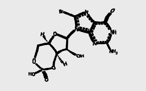 Nc1nc2c(nc(Br)n2C2O[C@@H]3COP(=O)(O)O[C@@H]3[C@@H]2O)c(=O)[nH]1